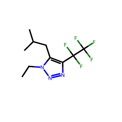 CCn1nnc(C(F)(F)C(F)(F)F)c1CC(C)C